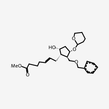 COC(=O)CCCC=CC[C@H]1[C@H](COCc2ccccc2)[C@@H](OC2CCCCO2)C[C@H]1O